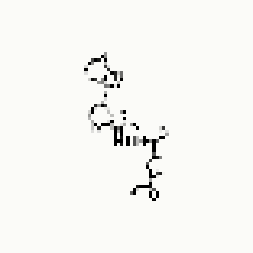 C=CC(=O)N1CCC(C(=O)NCc2cc3c(-c4cnn5ncccc45)ccnc3[nH]2)C1